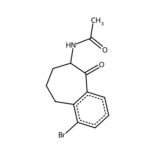 CC(=O)NC1CCCc2c(Br)cccc2C1=O